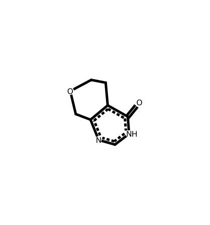 O=c1[nH]cnc2c1CCOC2